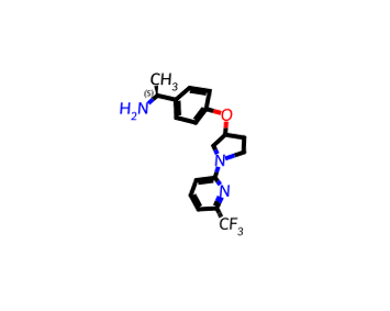 C[C@H](N)c1ccc(OC2CCN(c3cccc(C(F)(F)F)n3)C2)cc1